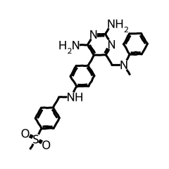 CN(Cc1nc(N)nc(N)c1-c1ccc(NCc2ccc(S(C)(=O)=O)cc2)cc1)c1ccccc1